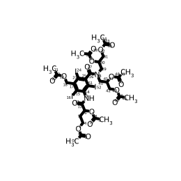 CC(=O)OCCC(OC(C)=O)C(=O)Nc1c(I)c(COC(C)=O)c(I)c(C(=O)N(CC(COC(C)=O)OC(C)=O)CC(COC(C)=O)OC(C)=O)c1I